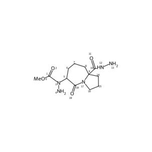 COC(=O)N(N)C1CCCC2(C(=O)NN)CCCN2C1=O